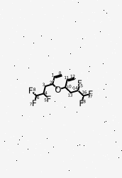 C=CC(CC(F)C(F)F)OC(C=C)CC(F)C(F)F